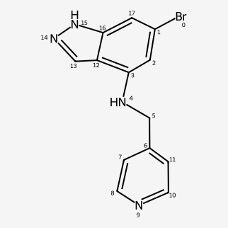 Brc1cc(NCc2ccncc2)c2cn[nH]c2c1